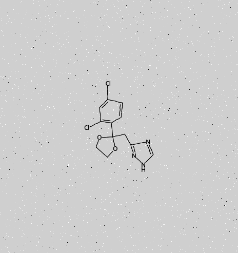 Clc1ccc(C2(Cc3nc[nH]n3)OCCO2)c(Cl)c1